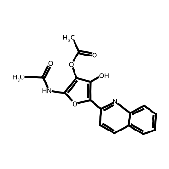 CC(=O)Nc1oc(-c2ccc3ccccc3n2)c(O)c1OC(C)=O